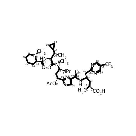 CC(=O)O[C@H](C[C@H](C(C)C)N(C)C(=O)[C@@H](NC(=O)[C@H]1CCCCN1C)[C@@H](C)C1CC1)c1nc(C(=O)N[C@@H](Cc2ncc(C(F)(F)F)cn2)C[C@H](C)C(=O)O)cs1